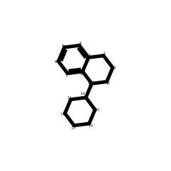 [CH]1CCc2ccccc2C1C1CCCCC1